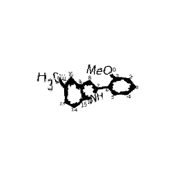 COc1ccccc1-c1cc2cc(C)ccc2[nH]1